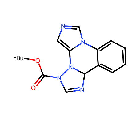 CC(C)(C)OC(=O)N1C=NC2c3ccccc3-n3cncc3N21